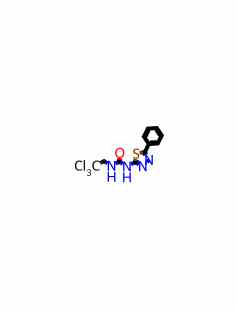 O=C(NCC(Cl)(Cl)Cl)Nc1nnc(-c2ccccc2)s1